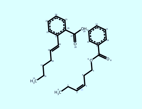 CC/C=C\CCOC(=O)c1ccccc1.CCCCC=Cc1ccccc1C(=O)O